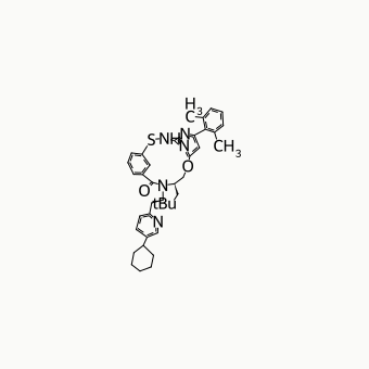 Cc1cccc(C)c1-c1cc2nc(n1)NSc1cccc(c1)C(=O)N(CCc1ccc(C3CCCCC3)cn1)[C@H](CC(C)(C)C)CO2